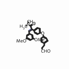 COc1cc(/C=C(/C(=O)N(C)C)c2ccc(Oc3ccc(CCC=O)cc3)cc2)cc(OC)c1